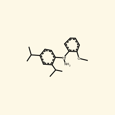 COc1cccc[c]1[Hf]([NH2])[c]1ccc(C(C)C)cc1C(C)C